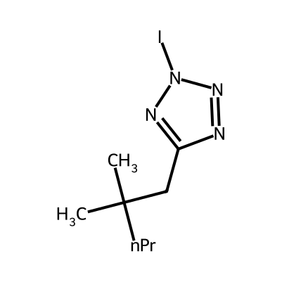 CCCC(C)(C)Cc1nnn(I)n1